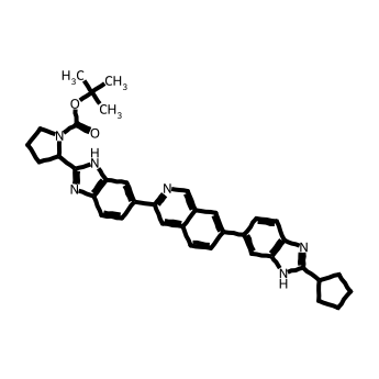 CC(C)(C)OC(=O)N1CCCC1c1nc2ccc(-c3cc4ccc(-c5ccc6nc(C7CCCC7)[nH]c6c5)cc4cn3)cc2[nH]1